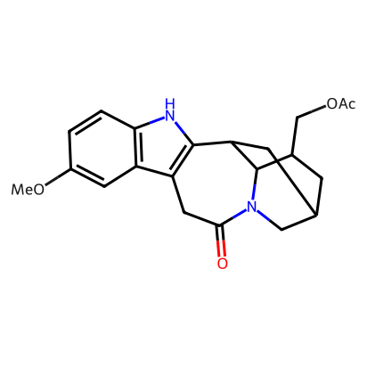 COc1ccc2[nH]c3c(c2c1)CC(=O)N1CC2CC(COC(C)=O)C1C3C2